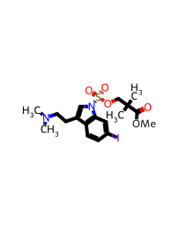 COC(=O)C(C)(C)COS(=O)(=O)n1cc(CCN(C)C)c2ccc(I)cc21